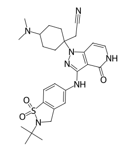 CN(C)C1CCC(CC#N)(n2nc(Nc3ccc4c(c3)CN(C(C)(C)C)S4(=O)=O)c3c(=O)[nH]ccc32)CC1